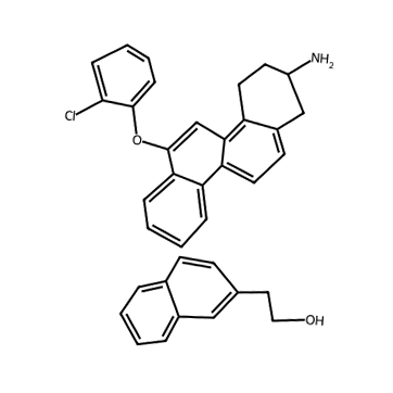 NC1CCc2c(ccc3c2cc(Oc2ccccc2Cl)c2ccccc23)C1.OCCc1ccc2ccccc2c1